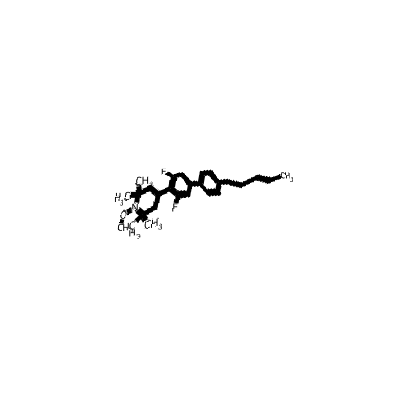 CCCCCc1ccc(-c2cc(F)c(C3CC(C)(C)N(OC)C(C)(C)C3)c(F)c2)cc1